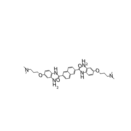 CN(C)CCCOc1ccc(NC(=O)c2ccc3cc(C(=O)Nc4ccc(OCCCN(C)C)cc4N)ccc3c2)c(N)c1